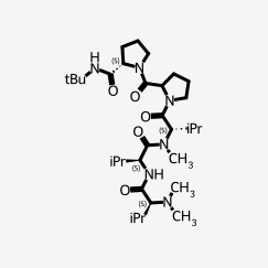 CC(C)[C@H](NC(=O)[C@H](C(C)C)N(C)C)C(=O)N(C)[C@H](C(=O)N1CCCC1C(=O)N1CCC[C@H]1C(=O)NC(C)(C)C)C(C)C